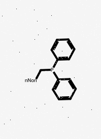 CCCCCCCCC[CH]P(c1ccccc1)c1ccccc1